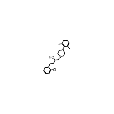 Cc1cccc(C)c1N1[CH]CN(CC(O)CCc2ccccc2Cl)CC1